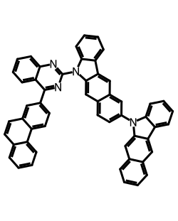 c1ccc2cc3c(cc2c1)c1ccccc1n3-c1ccc2cc3c(cc2c1)c1ccccc1n3-c1nc(-c2ccc3c(ccc4ccccc43)c2)c2ccccc2n1